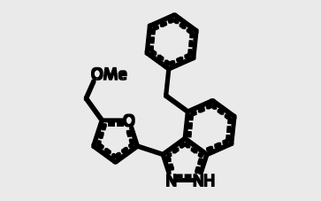 COCc1ccc(-c2n[nH]c3cccc(Cc4ccccc4)c23)o1